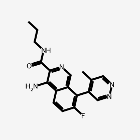 CCCNC(=O)c1ncc2c(-c3cnncc3C)c(F)ccc2c1N